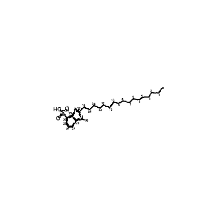 CCCCCCCCCCCCCCCCCc1nc2c(S(=O)(=O)O)cccc2n1C